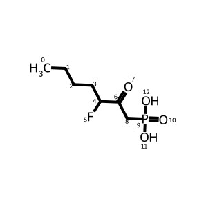 CCCCC(F)C(=O)CP(=O)(O)O